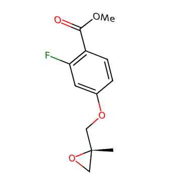 COC(=O)c1ccc(OC[C@]2(C)CO2)cc1F